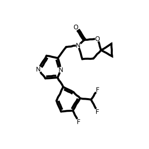 O=C1OC2(CCN1Cc1cncc(-c3ccc(F)c(C(F)F)c3)n1)CC2